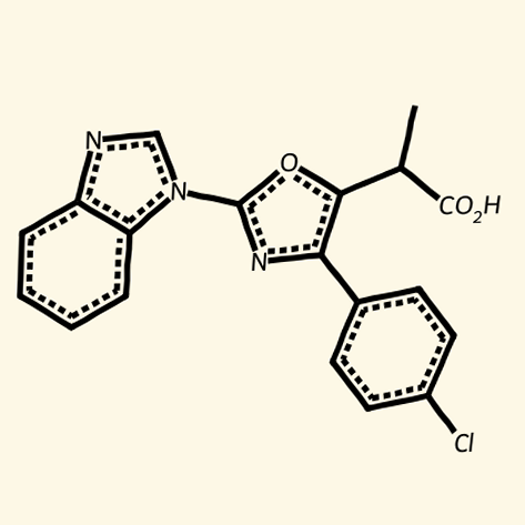 CC(C(=O)O)c1oc(-n2cnc3ccccc32)nc1-c1ccc(Cl)cc1